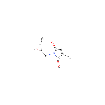 CCC1OC1CN1C(=O)C=C(C)C1=O